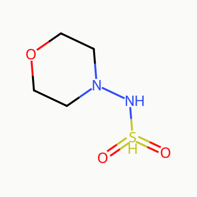 O=[SH](=O)NN1CCOCC1